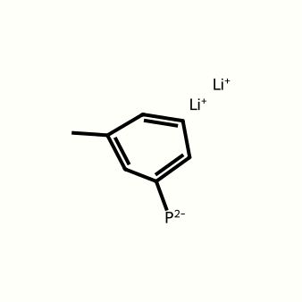 Cc1cccc([P-2])c1.[Li+].[Li+]